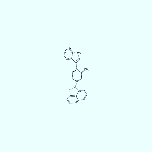 OC1CN(C2Cc3cccc4cccc2c34)CCC1c1c[nH]c2ncccc12